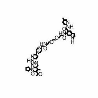 CC(=O)c1c(C)c2cnc(Nc3ccc(N4CCN(CC(=O)NCCOCCOCCC(=O)Nc5cc6c(cc5C(=O)Nc5ccc(C)cn5)CCN6)CC4)cn3)nc2n(C2CCCC2)c1=O